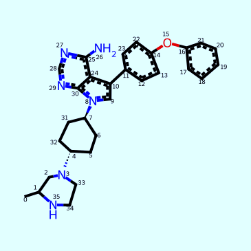 CC1CN([C@H]2CC[C@H](n3cc(-c4ccc(Oc5ccccc5)cc4)c4c(N)ncnc43)CC2)CCN1